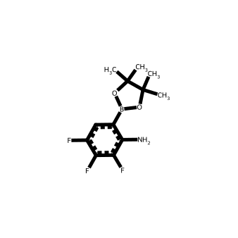 CC1(C)OB(c2cc(F)c(F)c(F)c2N)OC1(C)C